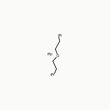 CC(C)CCOCCC(C)C.[Pb]